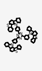 c1cc(-c2nc(-c3ccc(-n4c5ccccc5c5ccc6sc7ccccc7c6c54)cc3)nc(-c3ccc(-n4c5ccccc5c5ccc6sc7ccccc7c6c54)cc3)n2)cc(-n2c3ccccc3c3ccc4sc5ccccc5c4c32)c1